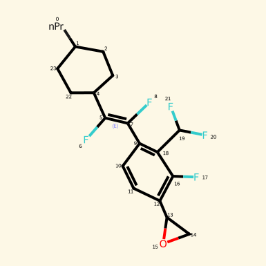 CCCC1CCC(/C(F)=C(\F)c2ccc(C3CO3)c(F)c2C(F)F)CC1